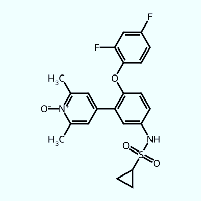 Cc1cc(-c2cc(NS(=O)(=O)C3CC3)ccc2Oc2ccc(F)cc2F)cc(C)[n+]1[O-]